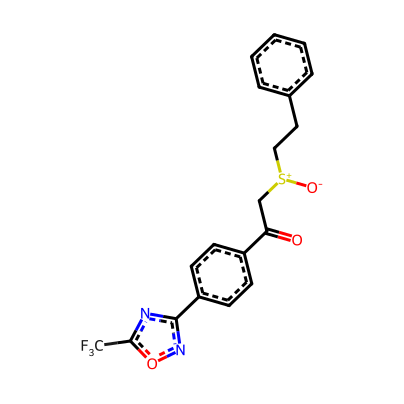 O=C(C[S+]([O-])CCc1ccccc1)c1ccc(-c2noc(C(F)(F)F)n2)cc1